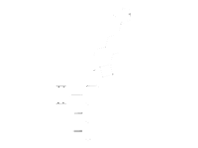 CNC(=O)NC(=O)NC(C(=O)NC1C(=O)N2C(C(=O)O)=C(CSc3nnnn3C)CS[C@@H]12)c1ccccc1